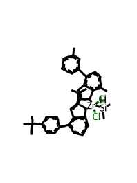 CC1=Cc2c(-c3cccc(C)c3)ccc(C)c2[CH]1[Zr]([Cl])([Cl])([CH]1C(C(C)C)=Cc2c(-c3ccc(C(C)(C)C)cc3)cccc21)[SiH](C)C